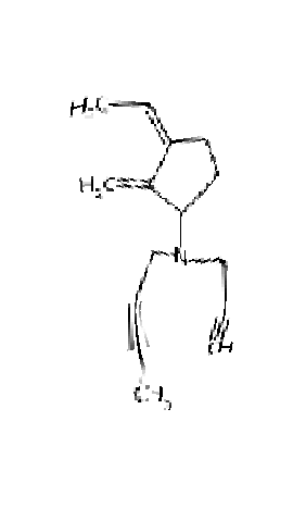 C#CCN(CC#CC)C1CC/C(=C/C)C1=C